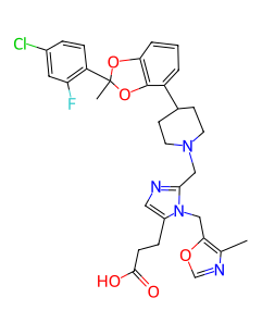 Cc1ncoc1Cn1c(CCC(=O)O)cnc1CN1CCC(c2cccc3c2OC(C)(c2ccc(Cl)cc2F)O3)CC1